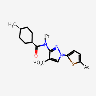 CC(=O)c1ccc(-n2cc(C(=O)O)c(N(C(=O)[C@H]3CC[C@H](C)CC3)C(C)C)n2)s1